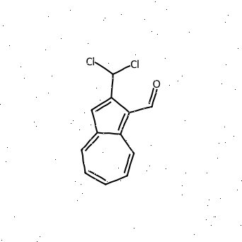 O=Cc1c2cccccc-2cc1C(Cl)Cl